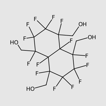 OCC1(F)C(F)(F)C(F)(F)C(F)(CO)C2(F)C(F)(CO)C(F)(F)C(F)(F)C(F)(CO)C12F